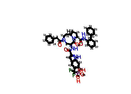 O=C(NC1CN(C(=O)Cc2ccccc2)CC[C@H]2CC[C@@H](C(=O)Nc3ccccc3-c3ccccc3)N2C1=O)c1cc2cc(C(F)(F)P(=O)(O)O)ccc2[nH]1